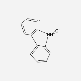 [O-][NH+]1c2[c]cccc2-c2ccccc21